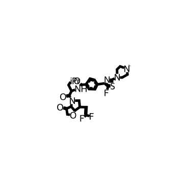 CC(C)CC(NC(=O)c1ccc(-c2nc(N3CCN(C)CC3)sc2F)cc1)C(=O)N1CC(C=C(F)F)C2OCC(=O)C21